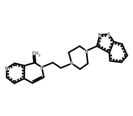 C=C1c2cnccc2C=CN1CCN1CCN(c2nsc3ccccc23)CC1